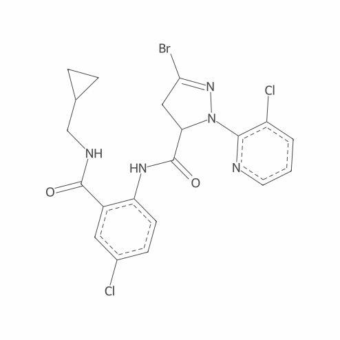 O=C(NCC1CC1)c1cc(Cl)ccc1NC(=O)C1CC(Br)=NN1c1ncccc1Cl